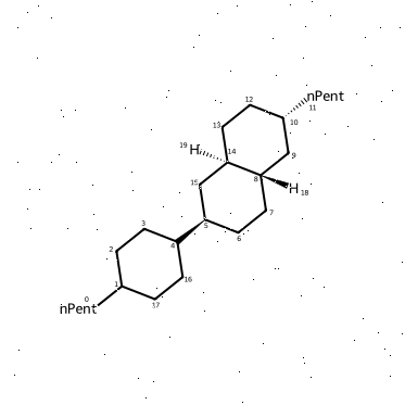 CCCCCC1CCC([C@@H]2CC[C@H]3C[C@@H](CCCCC)CC[C@@H]3C2)CC1